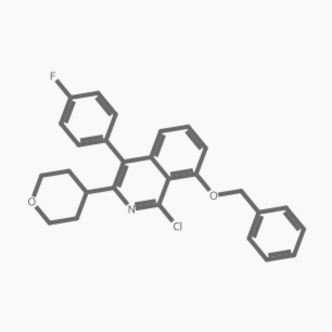 Fc1ccc(-c2c(C3CCOCC3)nc(Cl)c3c(OCc4ccccc4)cccc23)cc1